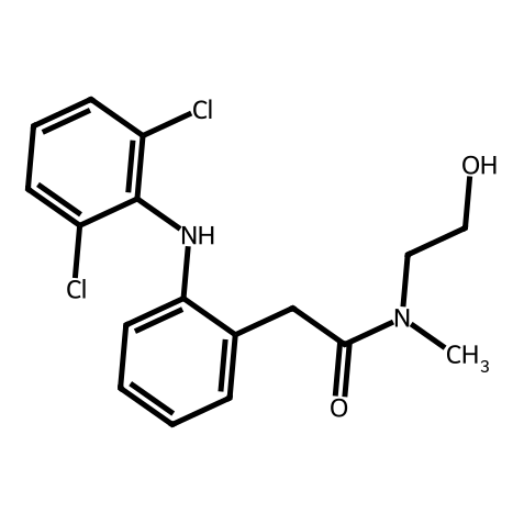 CN(CCO)C(=O)Cc1ccccc1Nc1c(Cl)cccc1Cl